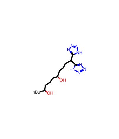 CCCCC(O)CCCC(O)CCCC(c1nnn[nH]1)c1nnn[nH]1